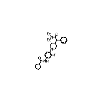 CCN(CC)C(=O)C(c1ccccc1)C1CCN(c2ccc(NC(=O)C3CCCC3)cc2F)CC1